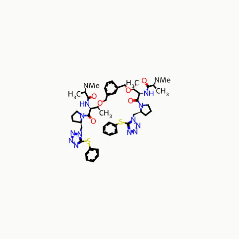 CN[C@@H](C)C(=O)N[C@H](C(=O)N1CCC[C@H]1Cn1nnnc1Sc1ccccc1)[C@@H](C)OCc1cccc(CO[C@@H](C)[C@@H](NC(=O)[C@@H](C)NC)C(=O)N2CCC[C@@H]2Cn2nnnc2Sc2ccccc2)c1